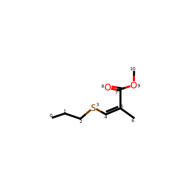 CCCSC=C(C)C(=O)OC